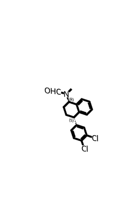 CN(C=O)[C@@H]1CC[C@@H](c2ccc(Cl)c(Cl)c2)c2ccccc21